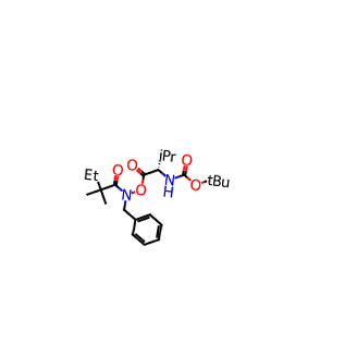 CCC(C)(C)C(=O)N(Cc1ccccc1)OC(=O)[C@@H](NC(=O)OC(C)(C)C)C(C)C